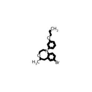 C=CCOc1cccc(N2CCOC(C)Cc3cc(Br)ccc32)c1